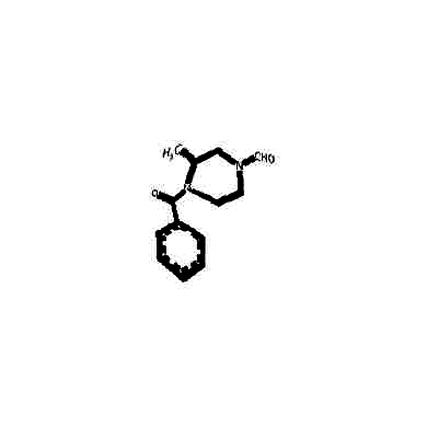 CC1CN(C=O)CCN1C(=O)c1ccccc1